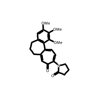 COc1cc2c(c(OC)c1OC)-c1ccc(N3CCCC3=O)c(=O)cc1CCC2